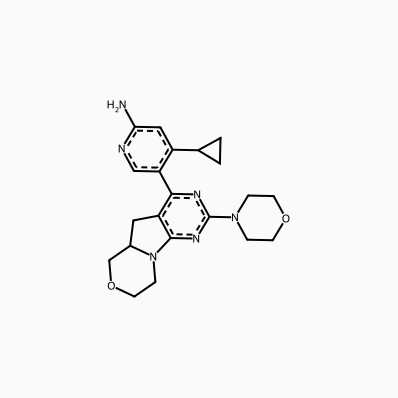 Nc1cc(C2CC2)c(-c2nc(N3CCOCC3)nc3c2CC2COCCN32)cn1